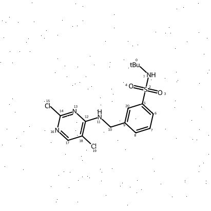 CC(C)(C)NS(=O)(=O)c1cccc(CNc2nc(Cl)ncc2Cl)c1